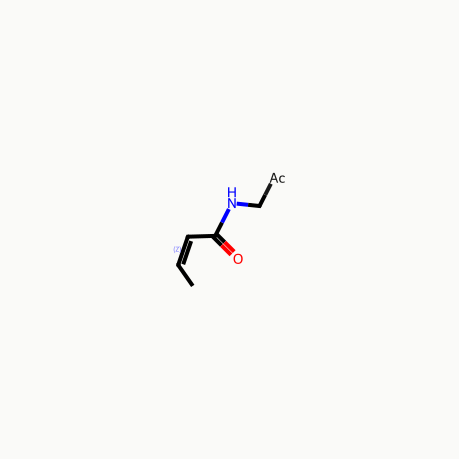 C/C=C\C(=O)NCC(C)=O